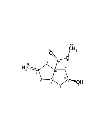 C=C1CN2C[C@H](O)CC2(C(=O)OC)C1